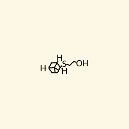 CC1(C)[C@H]2CC[C@H](SCCO)[C@H]1C2